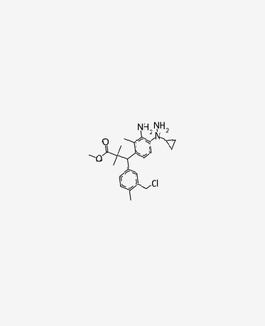 COC(=O)C(C)(C)C(c1ccc(C)c(CCl)c1)c1ccc(N(N)C2CC2)c(N)c1C